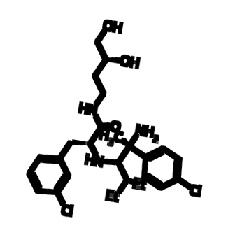 CCC(CC)C(N[C@H](Cc1cccc(Cl)c1)C(=O)NCC[C@H](O)CO)[C@](C)(N)c1ccc(Cl)cc1